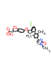 Cc1cc(-c2ccn(C)c(=O)n2)cc(C)c1-c1ccc(F)c2c1CC[C@H]2Oc1ccc2c(c1)OC[C@H]2CC(=O)O